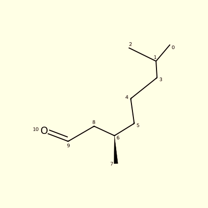 CC(C)CCC[C@@H](C)CC=O